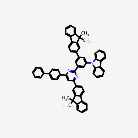 CC1(C)c2ccccc2-c2ccc(-c3cc(-c4nc(-c5ccc(-c6ccccc6)cc5)cc(-c5ccc6c(c5)C(C)(C)c5ccccc5-6)n4)cc(-n4c5ccccc5c5ccccc54)c3)cc21